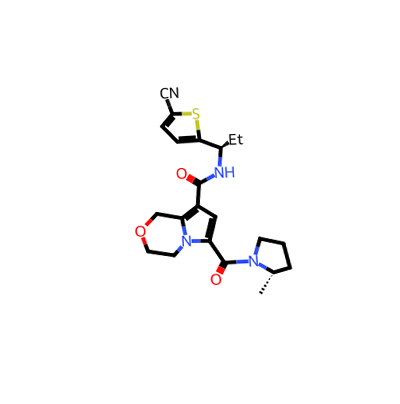 CC[C@@H](NC(=O)c1cc(C(=O)N2CCC[C@@H]2C)n2c1COCC2)c1ccc(C#N)s1